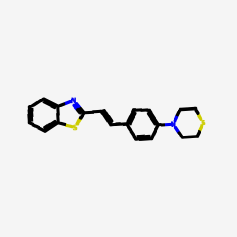 C(=Cc1nc2ccccc2s1)c1ccc(N2CCSCC2)cc1